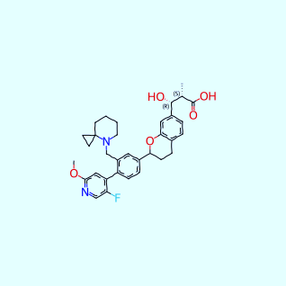 COc1cc(-c2ccc(C3CCc4ccc([C@H](O)[C@H](C)C(=O)O)cc4O3)cc2CN2CCCCC23CC3)c(F)cn1